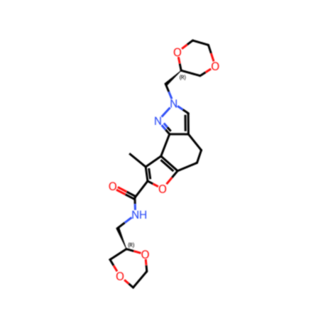 Cc1c(C(=O)NC[C@@H]2COCCO2)oc2c1-c1nn(C[C@@H]3COCCO3)cc1CC2